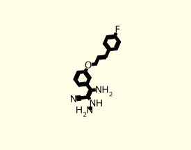 N#C/C(NN)=C(/N)c1cccc(OC/C=C/c2ccc(F)cc2)c1